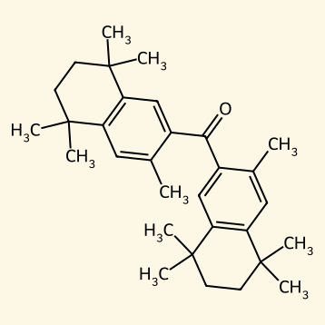 Cc1cc2c(cc1C(=O)c1cc3c(cc1C)C(C)(C)CCC3(C)C)C(C)(C)CCC2(C)C